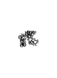 CN(C)[C@]1(c2ccccc2)CC[C@@]2(CC1)CN(CC(C)(C)C(=O)N1CCS(=O)(=O)CC1)C(=O)N2CC1(O)CCC1